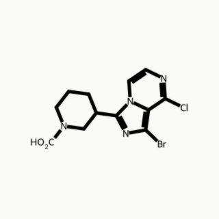 O=C(O)N1CCCC(c2nc(Br)c3c(Cl)nccn23)C1